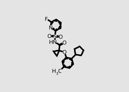 Cc1ccc(C2CCCC2)c(OC2(C(=O)NS(=O)(=O)c3cccc(F)n3)CC2)c1